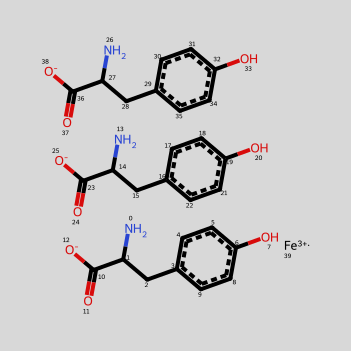 NC(Cc1ccc(O)cc1)C(=O)[O-].NC(Cc1ccc(O)cc1)C(=O)[O-].NC(Cc1ccc(O)cc1)C(=O)[O-].[Fe+3]